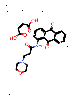 O=C(CCN1CCOCC1)Nc1cccc2c1C(=O)c1ccccc1C2=O.O=C(O)/C=C\C(=O)O